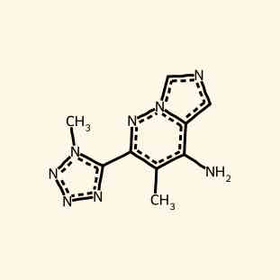 Cc1c(-c2nnnn2C)nn2cncc2c1N